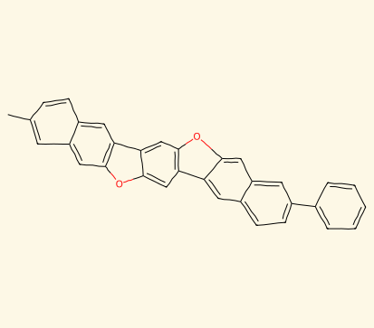 Cc1ccc2cc3c(cc2c1)oc1cc2c(cc13)oc1cc3cc(-c4ccccc4)ccc3cc12